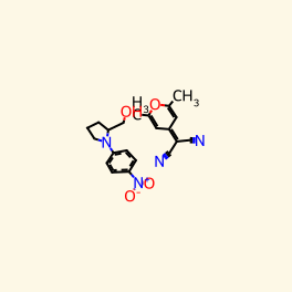 CC1=CC(=C(C#N)C#N)C=C(C)O1.O=[N+]([O-])c1ccc(N2CCCC2CO)cc1